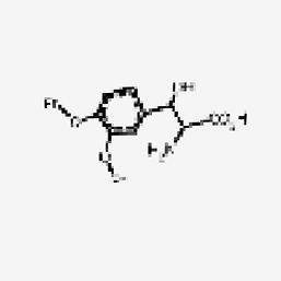 CCOc1ccc(C(O)C(N)C(=O)O)cc1OCC